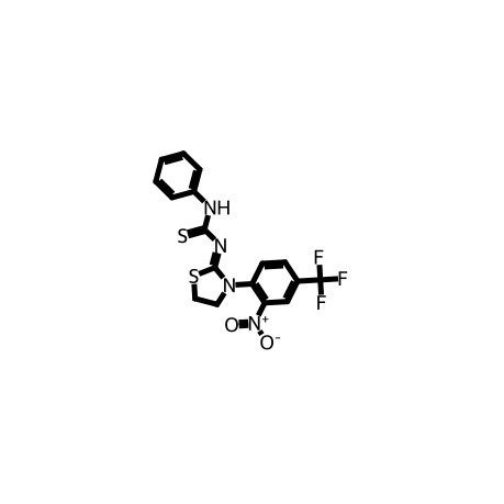 O=[N+]([O-])c1cc(C(F)(F)F)ccc1N1CCSC1=NC(=S)Nc1ccccc1